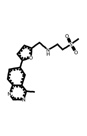 Cc1ncnc2ccc(-c3ccc(CNCCS(C)(=O)=O)o3)cc12